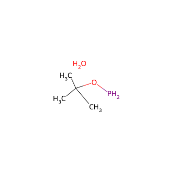 CC(C)(C)OP.O